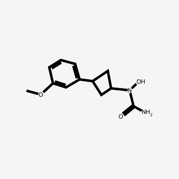 COc1cccc(C2CC(N(O)C(N)=O)C2)c1